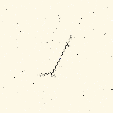 C=C(CCCCCCC/C=C/CCCCCCCC(=O)OCCOC)OCCOC